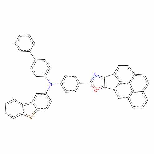 c1ccc(-c2ccc(N(c3ccc(-c4nc5c(o4)-c4cc6cccc7ccc8ccc-5c4c8c76)cc3)c3ccc4sc5ccccc5c4c3)cc2)cc1